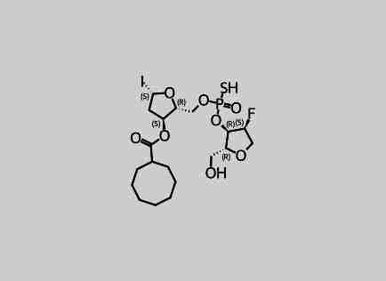 O=C(O[C@H]1C[C@H](I)O[C@@H]1COP(=O)(S)O[C@H]1[C@@H](F)CO[C@@H]1CO)C1CCCCCCC1